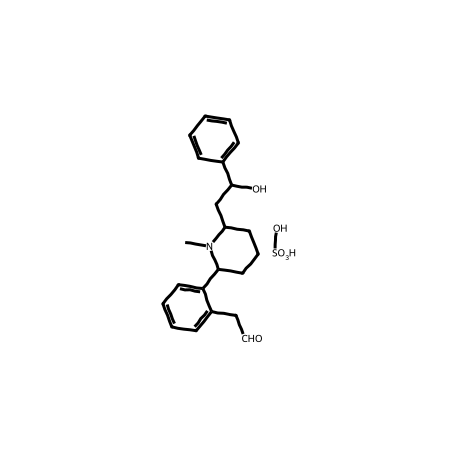 CN1C(CC(O)c2ccccc2)CCCC1c1ccccc1CC=O.O=S(=O)(O)O